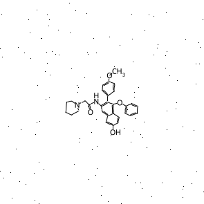 COc1ccc(-c2c(NC(=O)CN3CCCCC3)cc3cc(O)ccc3c2Oc2ccccc2)cc1